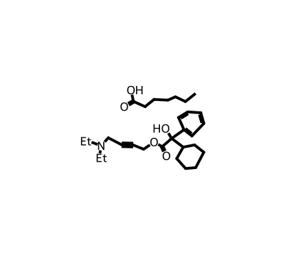 CCCCCCC(=O)O.CCN(CC)CC#CCOC(=O)C(O)(c1ccccc1)C1CCCCC1